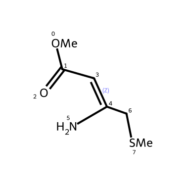 COC(=O)/C=C(\N)CSC